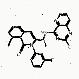 Cc1cccc2cc([C@H](C)Nc3nc(Cl)nc4cccnc34)n(-c3cccc(F)c3)c(=O)c12